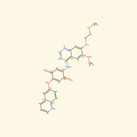 COCCOc1cc2ncnc(NC3=CC(=O)C(Oc4ccc5ncccc5c4)=CC3=O)c2cc1OC